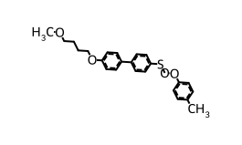 COCCCCOc1ccc(-c2ccc(SOOc3ccc(C)cc3)cc2)cc1